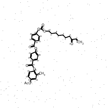 C=CC(=O)CCCCCCCOC(=O)Oc1ccc(C(=O)Oc2ccc(C(=O)Oc3ccc(OC(C)=O)cc3C)cc2)cc1